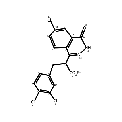 CCOC(=O)C(Cc1ccc(Cl)c(Cl)c1)c1n[nH]c(=O)c2cc(Cl)ccc12